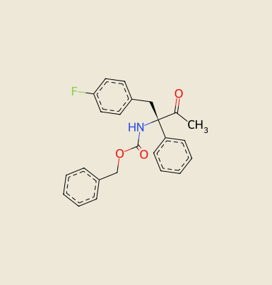 CC(=O)[C@@](Cc1ccc(F)cc1)(NC(=O)OCc1ccccc1)c1ccccc1